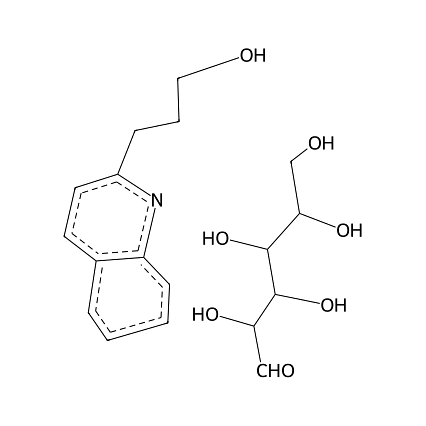 O=CC(O)C(O)C(O)C(O)CO.OCCCc1ccc2ccccc2n1